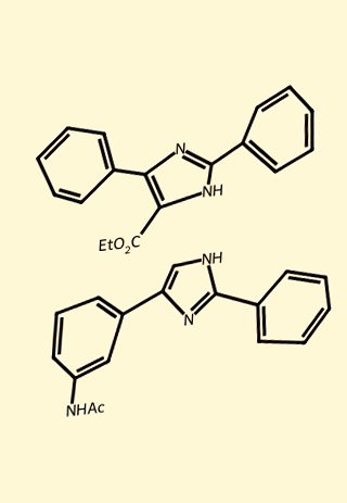 CC(=O)Nc1cccc(-c2c[nH]c(-c3ccccc3)n2)c1.CCOC(=O)c1[nH]c(-c2ccccc2)nc1-c1ccccc1